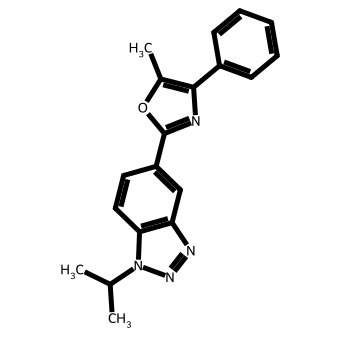 Cc1oc(-c2ccc3c(c2)nnn3C(C)C)nc1-c1ccccc1